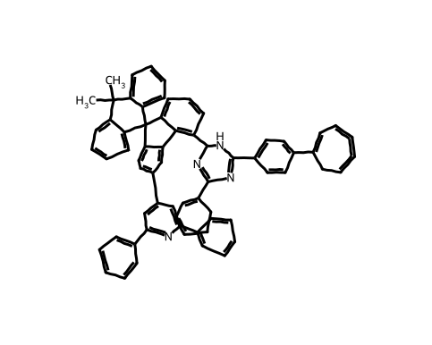 CC1(C)c2ccccc2C2(c3ccc(-c4cc(-c5ccccc5)nc(-c5ccccc5)c4)cc3-c3c(C4N=C(C5=CC=CCC5)N=C(c5ccc(C6=CC=C=C=CC6)cc5)N4)cccc32)c2ccccc21